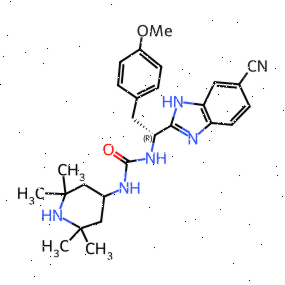 COc1ccc(C[C@@H](NC(=O)NC2CC(C)(C)NC(C)(C)C2)c2nc3ccc(C#N)cc3[nH]2)cc1